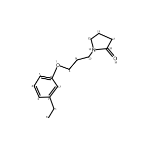 CCc1cccc(OCCCN2CCCC2=O)c1